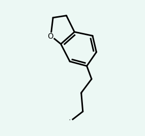 [CH2]CCCc1ccc2c(c1)OCC2